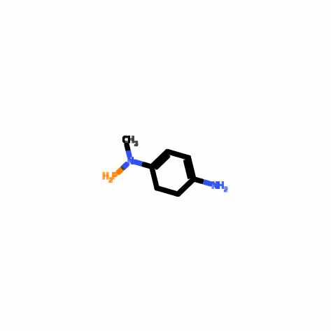 CN(P)C1=CC=C(N)CC1